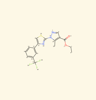 CCOC(=O)c1cnn(-c2nc(-c3cccc(C(F)(F)F)c3)cs2)c1C